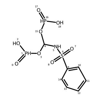 O=[PH](O)OC(NS(=O)(=O)c1ccccc1)O[PH](=O)O